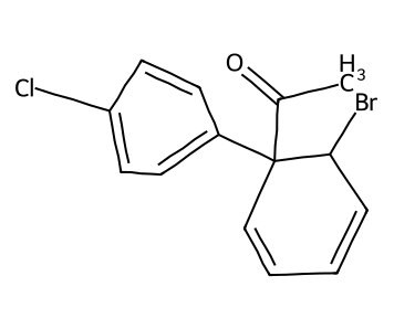 CC(=O)C1(c2ccc(Cl)cc2)C=CC=CC1Br